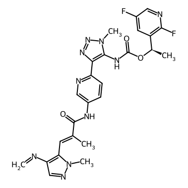 C=Nc1cnn(C)c1/C=C(\C)C(=O)Nc1ccc(-c2nnn(C)c2NC(=O)O[C@H](C)c2cc(F)cnc2F)nc1